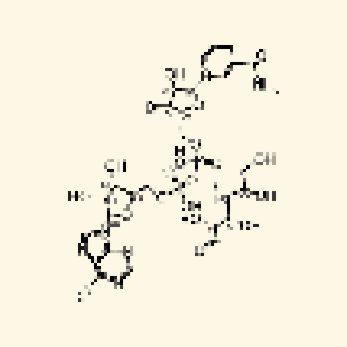 NC(=O)C1=CN([C@@H]2O[C@H](COP(=O)(O)OP(=O)(O)OC[C@H]3O[C@@H](n4cnc5c(N)ncnc54)[C@H](O)[C@@H]3O)[C@@H](O)[C@H]2O)C=CC1.O=C[C@H](O)[C@@H](O)[C@H](O)[C@H](O)CO